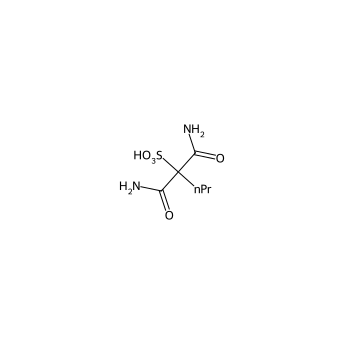 CCCC(C(N)=O)(C(N)=O)S(=O)(=O)O